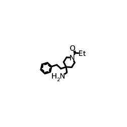 CCC(=O)N1CCC(CN)(CCc2ccccc2)CC1